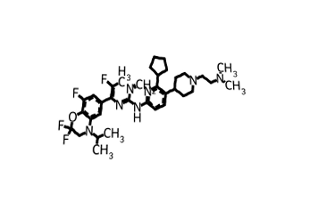 C=N/C(=N\C(=C(/C)F)c1cc(F)c2c(c1)N(C(C)C)CC(F)(F)O2)Nc1ccc(C2CCN(CCN(C)C)CC2)c(C2CCCC2)n1